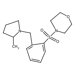 CC1CCCN1Cc1ccccc1S(=O)(=O)N1CCOCC1